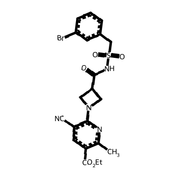 CCOC(=O)c1cc(C#N)c(N2CC(C(=O)NS(=O)(=O)Cc3cccc(Br)c3)C2)nc1C